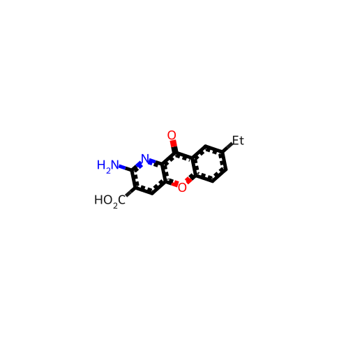 CCc1ccc2oc3cc(C(=O)O)c(N)nc3c(=O)c2c1